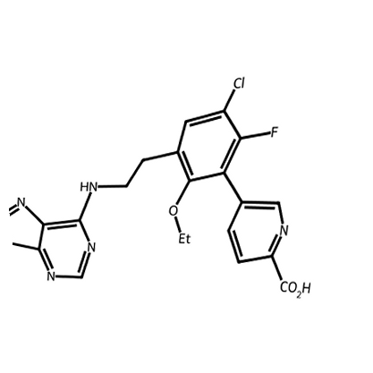 CCOc1c(CCNc2ncnc3[nH]cnc23)cc(Cl)c(F)c1-c1ccc(C(=O)O)nc1